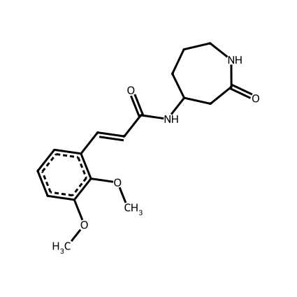 COc1cccc(C=CC(=O)NC2CCCNC(=O)C2)c1OC